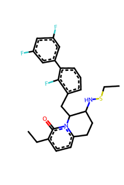 CCSNC1CCc2ccc(CC)c(=O)n2C1Cc1cccc(-c2cc(F)cc(F)c2)c1F